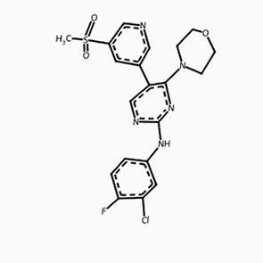 CS(=O)(=O)c1cncc(-c2cnc(Nc3ccc(F)c(Cl)c3)nc2N2CCOCC2)c1